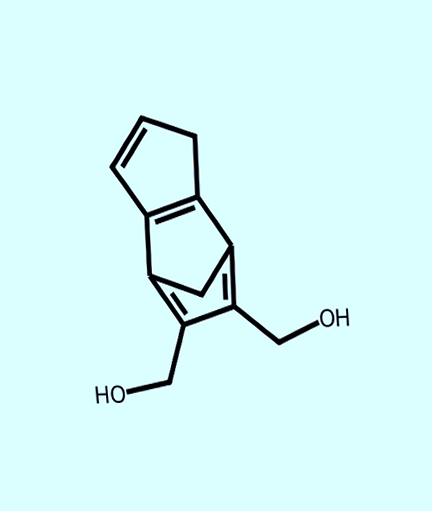 OCC1=C2CC(=C1CO)C1=C2C=CC1